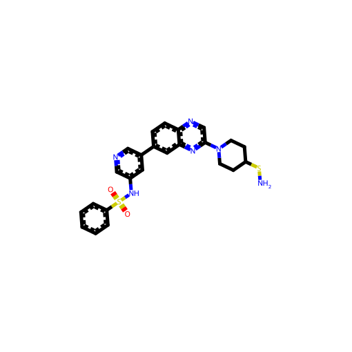 NSC1CCN(c2cnc3ccc(-c4cncc(NS(=O)(=O)c5ccccc5)c4)cc3n2)CC1